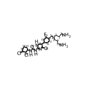 NCCCN(CCCN)Cc1ccc(-c2c[nH]c(NC(=O)Nc3cccc(Cl)c3Cl)nc2=O)cc1F